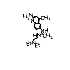 C=C(NCCN(CC)CC)Nc1ccc2nc(N)cc(C)c2c1